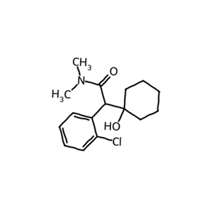 CN(C)C(=O)C(c1ccccc1Cl)C1(O)CCCCC1